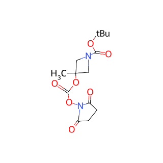 CC(C)(C)OC(=O)N1CC(C)(OC(=O)ON2C(=O)CCC2=O)C1